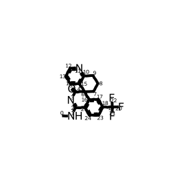 CNC1=NC(=O)C2(CCCc3ncccc32)c2cc(C(F)(F)F)ccc21